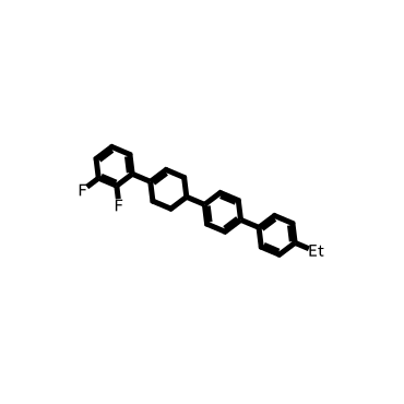 CCc1ccc(-c2ccc(C3CC=C(c4cccc(F)c4F)CC3)cc2)cc1